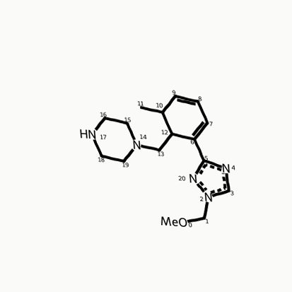 COCn1cnc(C2=CC=CC(C)C2CN2CCNCC2)n1